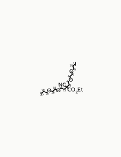 CCOC(=O)C(C#N)(CCOCCOCCI)CCOCCOCCI